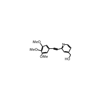 COc1cc(C#Cc2cc(CO)ccn2)cc(OC)c1OC